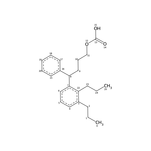 CCCc1cccc(C(CCCOC(=O)O)c2ccccc2)c1CCC